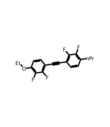 CCCc1ccc(C#Cc2ccc(OCC)c(F)c2F)c(F)c1F